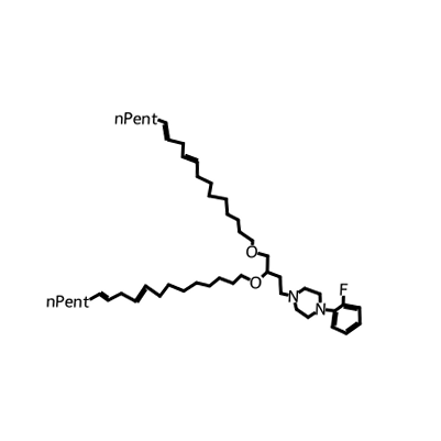 CCCCCC=CCC=CCCCCCCCCOCC(CCN1CCN(c2ccccc2F)CC1)OCCCCCCCCC=CCC=CCCCCC